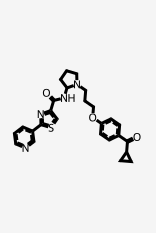 O=C(NC1CCCN1CCCOc1ccc(C(=O)C2CC2)cc1)c1csc(-c2cccnc2)n1